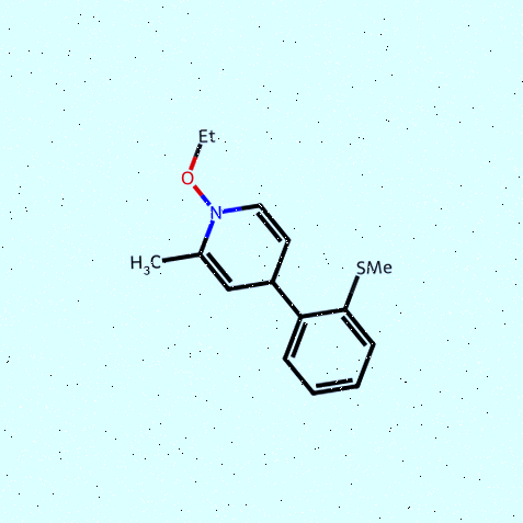 CCON1C=CC(c2ccccc2SC)C=C1C